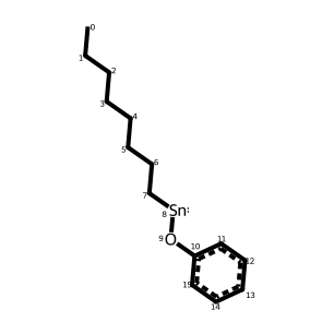 CCCCCCC[CH2][Sn][O]c1ccccc1